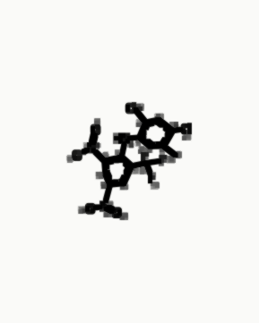 Cc1cc(Nc2c([N+](=O)[O-])cc([N+](=O)[O-])cc2C(F)(F)F)c(Cl)cc1Cl